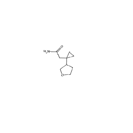 NC(=O)CC1(C2CCOC2)CC1